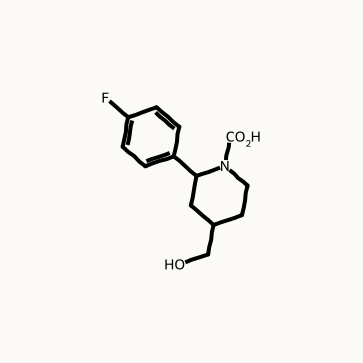 O=C(O)N1CCC(CO)CC1c1ccc(F)cc1